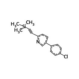 C[Si](C)(C)C#Cc1ccc(-c2ccc(Cl)cc2)cn1